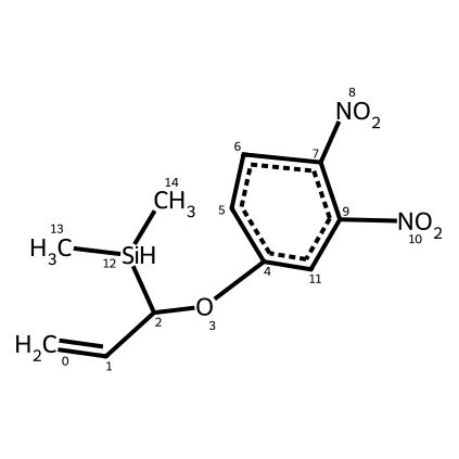 C=CC(Oc1ccc([N+](=O)[O-])c([N+](=O)[O-])c1)[SiH](C)C